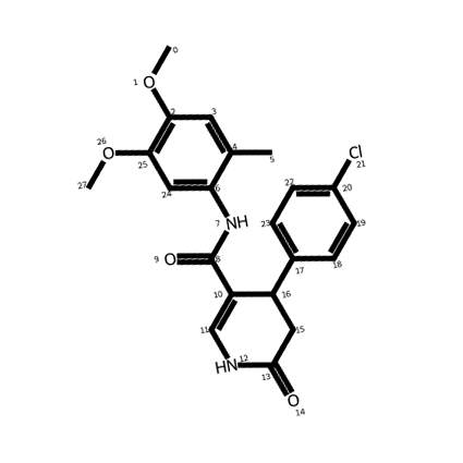 COc1cc(C)c(NC(=O)C2=CNC(=O)CC2c2ccc(Cl)cc2)cc1OC